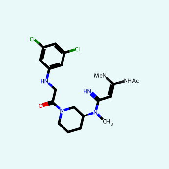 CN/C(=C\C(=N)N(C)[C@H]1CCCN(C(=O)CNc2cc(Cl)cc(Cl)c2)C1)NC(C)=O